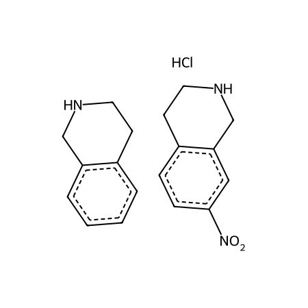 Cl.O=[N+]([O-])c1ccc2c(c1)CNCC2.c1ccc2c(c1)CCNC2